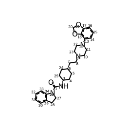 O=C(N[C@H]1CC[C@H](CCN2CCN(c3cccc4c3OCO4)CC2)CC1)N1CCc2ccccc21